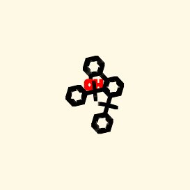 CC(C)(c1ccccc1)c1cccc(-c2ccccc2O)c1C(C)(C)c1ccccc1